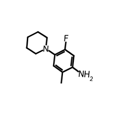 Cc1cc(N2CCCCC2)c(F)cc1N